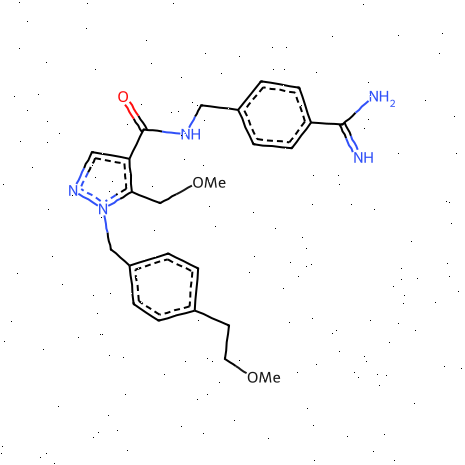 COCCc1ccc(Cn2ncc(C(=O)NCc3ccc(C(=N)N)cc3)c2COC)cc1